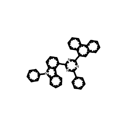 c1ccc(-c2nc(-c3cc4ccccc4c4ccccc34)nc(-c3cccc4c3c3ccccc3n4-c3ccccc3)n2)cc1